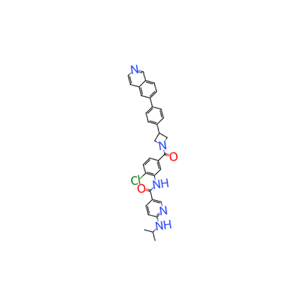 CC(C)Nc1ccc(C(=O)Nc2cc(C(=O)N3CC(c4ccc(-c5ccc6cnccc6c5)cc4)C3)ccc2Cl)cn1